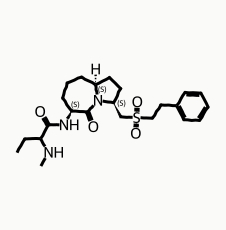 CCC(NC)C(=O)N[C@H]1CCC[C@H]2CC[C@@H](CS(=O)(=O)CCc3ccccc3)N2C1=O